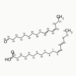 CCC/C=C/C=C\CCCCCCCCCCC(=O)O.CCC/C=C\C=C\CCCCCCCCC=O